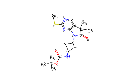 CSc1ncc2c(n1)N([C@H]1C[C@H](NC(=O)OC(C)(C)C)C1)C(=O)C2(C)C